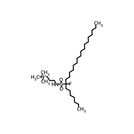 CCCCCCCCCCCCCCCCCC(F)(CCCCCCC)S(=O)(=O)NCCC[N+](C)(C)C